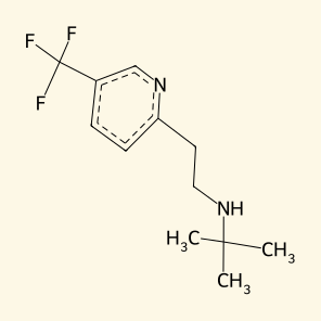 CC(C)(C)NCCc1ccc(C(F)(F)F)cn1